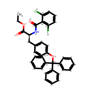 CCOC(=O)[C@H](Cc1ccc(OC(c2ccccc2)(c2ccccc2)c2ccccc2)cc1)NC(=O)c1c(F)cccc1Cl